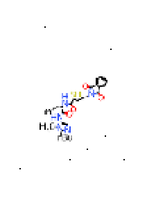 CCCCc1ncc(NC(=O)[C@H](CC(C)C)NC(=O)C(S)CCCN2C(=O)c3ccccc3C2=O)n1C